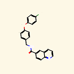 O=C(NCc1ccc(Oc2ccc(F)cc2)cc1)c1ccc2ncccc2c1